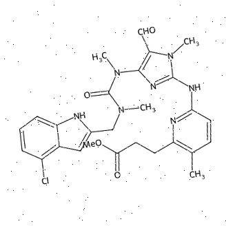 COC(=O)CCc1nc(Nc2nc(N(C)C(=O)N(C)Cc3cc4c(Cl)cccc4[nH]3)c(C=O)n2C)ccc1C